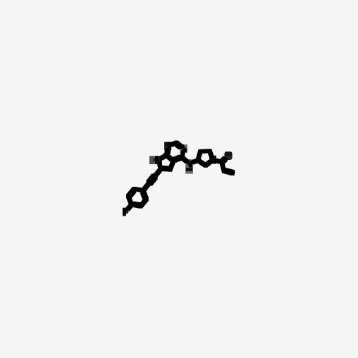 C=CC(=O)N1CCC(Nc2ncnc3[nH]c(C#Cc4ccc(F)cc4)cc23)C1